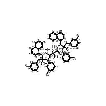 CCC(CC)(C(=O)N[C@@H](c1cccc2ccccc12)C(O)(Cc1cccc(C)c1)Cc1cccc(C)c1)C(=O)N[C@@H](c1cccc2ccccc12)C(O)(Cc1cccc(C)c1)Cc1cccc(C)c1